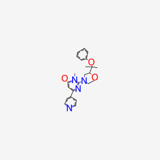 Cn1c(N2CCOC(C(C)(C)Oc3ccccc3)C2)nc(-c2ccncc2)cc1=O